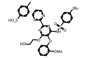 COc1ccccc1Oc1c(NS(=O)(=O)c2ccc(C(C)(C)C)cc2)nc(-c2ncccn2)nc1OCCO.Cc1ccc(S(=O)(=O)O)cc1